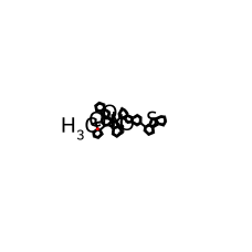 CC1(C)c2ccccc2-c2c1c1c3ccccc3oc1c1c2c2ccccc2n1-c1cccc2c1oc1cc(-c3cccc4c3sc3ccccc34)ccc12